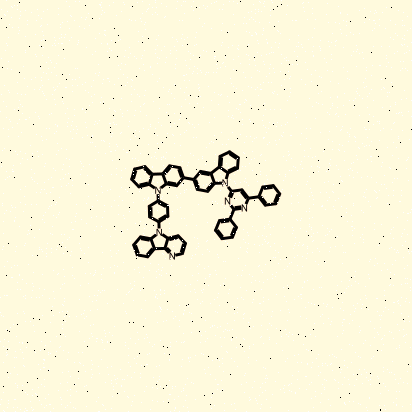 c1ccc(-c2cc(-n3c4ccccc4c4cc(-c5ccc6c7ccccc7n(-c7ccc(-n8c9ccccc9c9ncccc98)cc7)c6c5)ccc43)nc(-c3ccccc3)n2)cc1